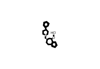 CO[C@@H]1C[C@H](CN2CCC(c3ccccc3)CC2)CCc2ccccc21.Cl